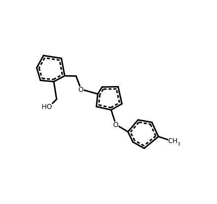 Cc1ccc(Oc2cccc(OCc3ccccc3CO)c2)cc1